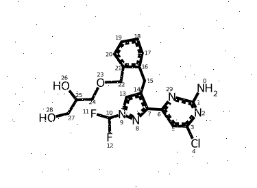 Nc1nc(Cl)cc(-c2nn(C(F)F)cc2Cc2ccccc2COCC(O)CO)n1